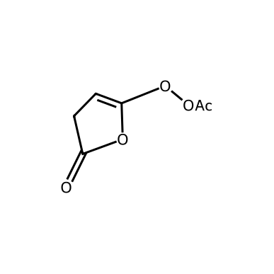 CC(=O)OOC1=CCC(=O)O1